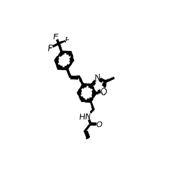 C=CC(=O)NCc1ccc(C=Cc2ccc(C(F)(F)F)cc2)c2nc(C)oc12